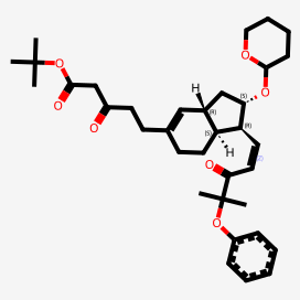 CC(C)(C)OC(=O)CC(=O)CCC1=C[C@@H]2C[C@H](OC3CCCCO3)[C@@H](/C=C\C(=O)C(C)(C)Oc3ccccc3)[C@H]2CC1